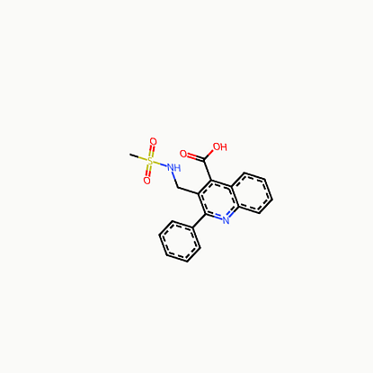 CS(=O)(=O)NCc1c(-c2ccccc2)nc2ccccc2c1C(=O)O